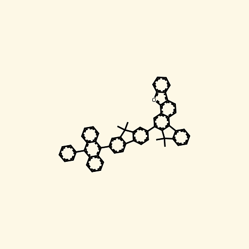 CC1(C)c2cc(-c3cc4c(ccc5c6ccccc6oc45)c4c3C(C)(C)c3ccccc3-4)ccc2-c2ccc(-c3c4ccccc4c(-c4ccccc4)c4ccccc34)cc21